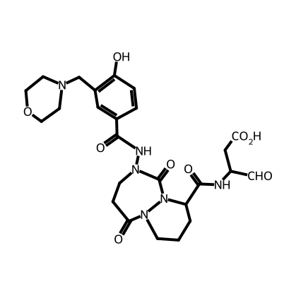 O=CC(CC(=O)O)NC(=O)C1CCCN2C(=O)CCN(NC(=O)c3ccc(O)c(CN4CCOCC4)c3)C(=O)N12